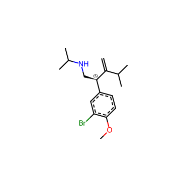 C=C(C(C)C)[C@H](CNC(C)C)c1ccc(OC)c(Br)c1